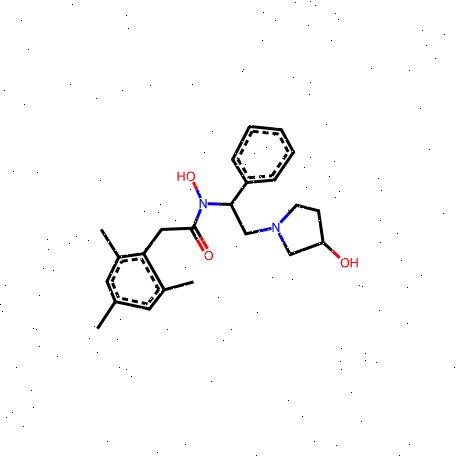 Cc1cc(C)c(CC(=O)N(O)C(CN2CCC(O)C2)c2ccccc2)c(C)c1